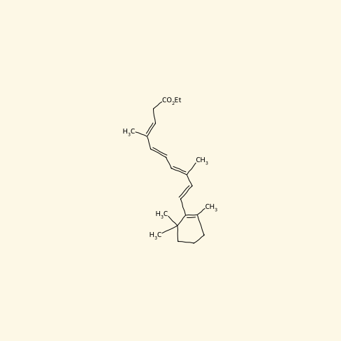 CCOC(=O)CC=C(C)C=CC=C(C)C=CC1=C(C)CCCC1(C)C